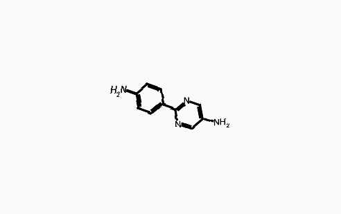 Nc1ccc(-c2ncc(N)cn2)cc1